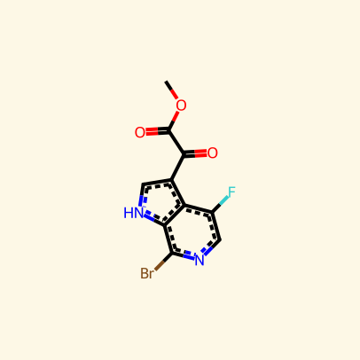 COC(=O)C(=O)c1c[nH]c2c(Br)ncc(F)c12